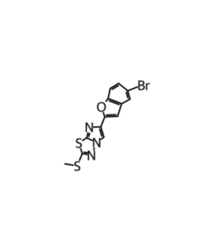 CSc1nn2cc(-c3cc4cc(Br)ccc4o3)nc2s1